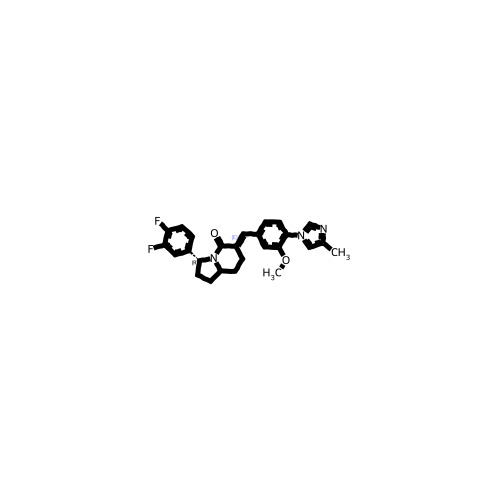 COc1cc(/C=C2\CCC3CC[C@H](c4ccc(F)c(F)c4)N3C2=O)ccc1-n1cnc(C)c1